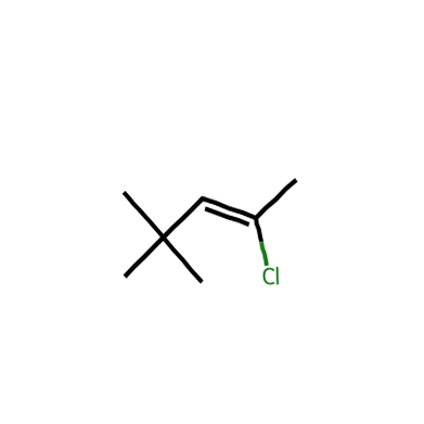 CC(Cl)=CC(C)(C)C